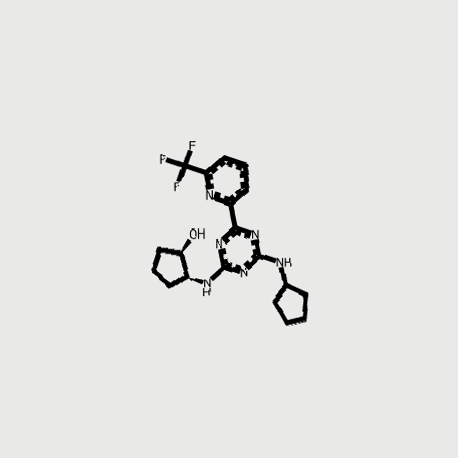 O[C@@H]1CCC[C@@H]1Nc1nc(NC2CCCC2)nc(-c2cccc(C(F)(F)F)n2)n1